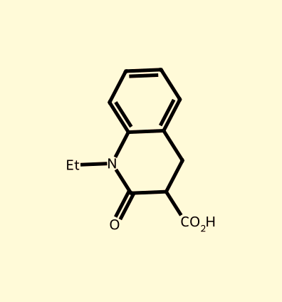 CCN1C(=O)C(C(=O)O)Cc2ccccc21